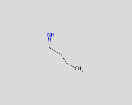 [CH2]CC[C]=N